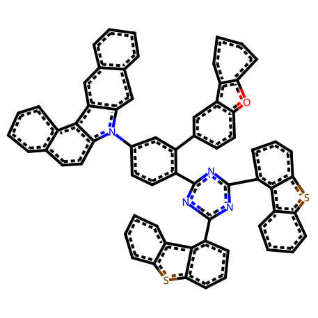 c1ccc2cc3c(cc2c1)c1c2ccccc2ccc1n3-c1ccc(-c2nc(-c3cccc4sc5ccccc5c34)nc(-c3cccc4sc5ccccc5c34)n2)c(-c2ccc3oc4ccccc4c3c2)c1